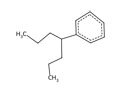 CCCC(CCC)c1c[c]ccc1